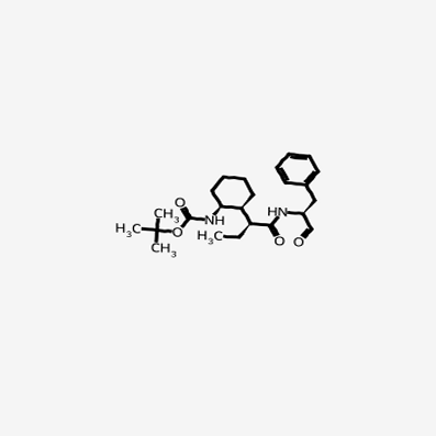 CC[C@H](C(=O)N[C@H](C=O)Cc1ccccc1)[C@@H]1CCCC[C@@H]1NC(=O)OC(C)(C)C